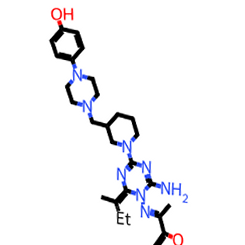 CC/C(C)=C1/N=C(N2CCCC(CN3CCN(c4ccc(O)cc4)CC3)C2)N=C(N)N1/N=C(\C)c1ccco1